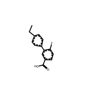 [CH2]Cc1ccc(-c2cc(C(=O)O)ccc2F)cc1